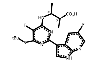 C[C@H](Nc1nc(-c2c[nH]c3ncc(F)cc23)nc(SC(C)(C)C)c1F)[C@H](C)C(=O)O